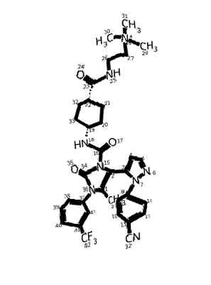 Cc1c(-c2ccnn2-c2ccc(C#N)cc2)n(C(=O)N[C@H]2CC[C@@H](C(=O)NCC[N+](C)(C)C)CC2)c(=O)n1-c1cccc(C(F)(F)F)c1